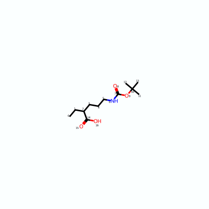 CCC(CCCNC(=O)OC(C)(C)C)C(=O)O